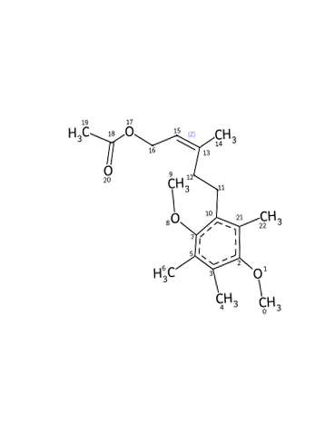 COc1c(C)c(C)c(OC)c(CC/C(C)=C\COC(C)=O)c1C